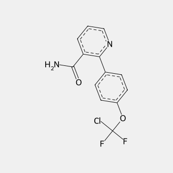 NC(=O)c1cccnc1-c1ccc(OC(F)(F)Cl)cc1